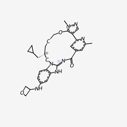 Cc1cc2cc(n1)-c1cnn(C)c1OCCC[C@@H](CC1CC1)CN1/C(=N/C2=O)Nc2cc(NC3COC3)ccc21